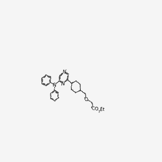 CCOC(=O)COCC1CCC(c2cncc(N(c3ccccc3)c3ccccc3)n2)CC1